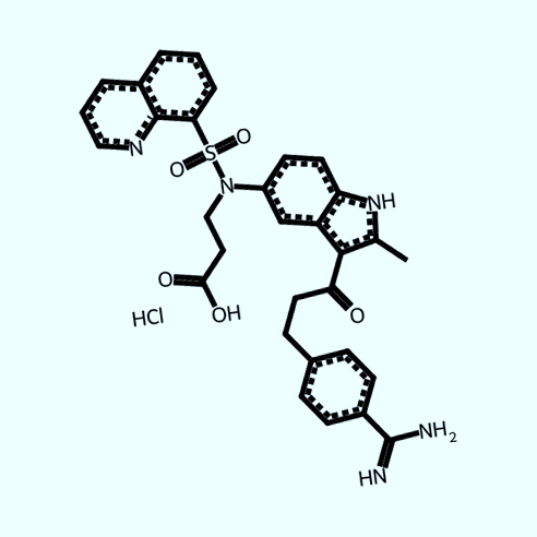 Cc1[nH]c2ccc(N(CCC(=O)O)S(=O)(=O)c3cccc4cccnc34)cc2c1C(=O)CCc1ccc(C(=N)N)cc1.Cl